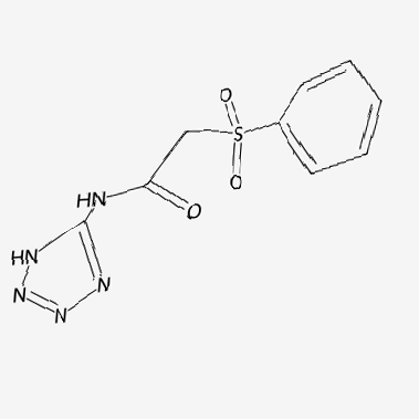 O=C(CS(=O)(=O)c1ccccc1)Nc1nnn[nH]1